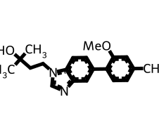 COc1cc(C)ccc1-c1ccc2c(c1)ncn2CCC(C)(C)O